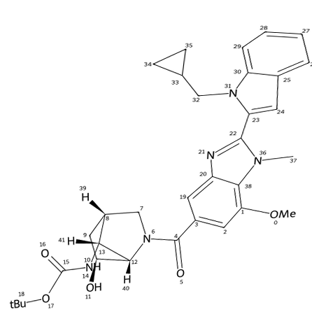 COc1cc(C(=O)N2C[C@H]3C[C@H](O)[C@@H]2[C@@H]3NC(=O)OC(C)(C)C)cc2nc(-c3cc4ccccc4n3CC3CC3)n(C)c12